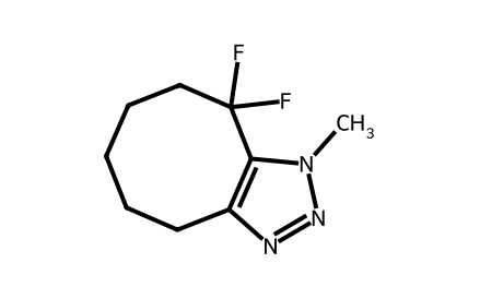 Cn1nnc2c1C(F)(F)CCCCC2